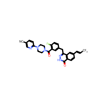 N#Cc1ccc(N2CCN(C(=O)c3cc(Cc4n[nH]c(=O)c5ccc(C=CC(F)(F)F)cc45)ccc3F)CC2)nc1